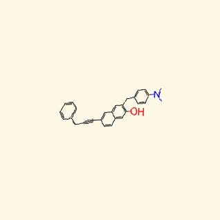 CN(C)c1ccc(Cc2cc3cc(C#CCc4ccccc4)ccc3cc2O)cc1